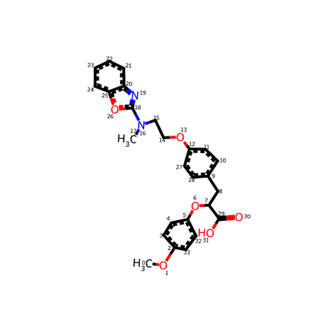 COc1ccc(OC(Cc2ccc(OCCN(C)c3nc4ccccc4o3)cc2)C(=O)O)cc1